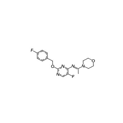 C/C(=N\c1nc(OCc2ccc(F)cc2)ncc1F)N1CCOCC1